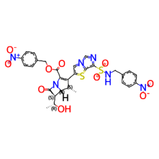 C[C@@H](O)[C@H]1C(=O)N2C(C(=O)OCc3ccc([N+](=O)[O-])cc3)=C(c3cn4cnc(S(=O)(=O)NCc5ccc([N+](=O)[O-])cc5)c4s3)[C@H](C)[C@H]12